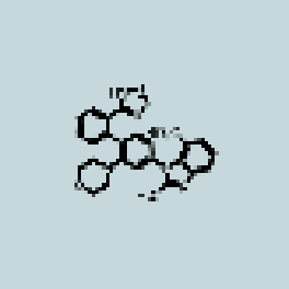 Cc1nc2cccc(C(=O)O)c2n1-c1ccc(-c2ccccc2-c2nnn[nH]2)c(N2CCOCC2)c1